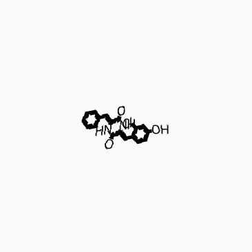 O=c1[nH]/c(=C\c2ccc(O)cc2Cl)c(=O)[nH]/c1=C\c1ccccc1